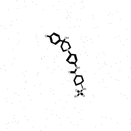 CC(C)S(=O)(=O)N[C@H]1CC[C@H](C(=O)Nc2ccc(N3CCC(O)(c4ccc(Cl)cc4)CC3)cc2)CC1